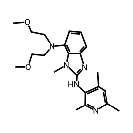 COCCN(CCOC)c1cccc2nc(Nc3c(C)cc(C)nc3C)n(C)c12